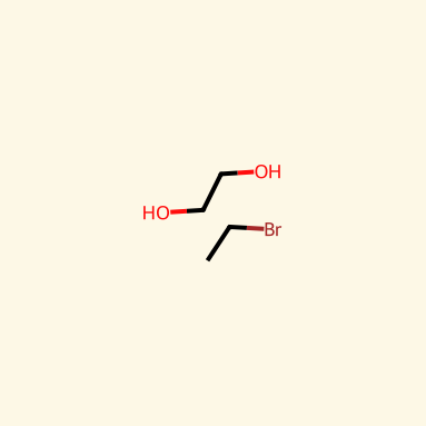 CCBr.OCCO